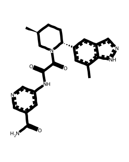 Cc1cc([C@H]2CC[C@H](C)CN2C(=O)C(=O)Nc2cncc(C(N)=O)c2)cc2cn[nH]c12